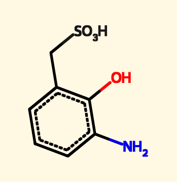 Nc1cccc(CS(=O)(=O)O)c1O